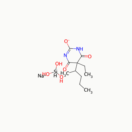 CCCC(C)C1(CC)C(=O)N=C([O-])NC1=O.O[SiH](O)O.[Na+]